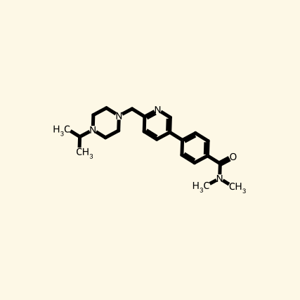 CC(C)N1CCN(Cc2ccc(-c3ccc(C(=O)N(C)C)cc3)cn2)CC1